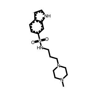 CN1CCN(CCCNS(=O)(=O)c2ccc3[c]c[nH]c3c2)CC1